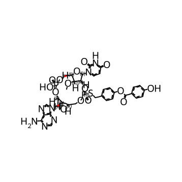 CO[C@H]1[C@H]2O[P@@](=O)(SCc3ccc(OC(=O)c4ccc(O)cc4)cc3)OC[C@H]3O[C@@H](n4cnc5c(N)ncnc54)[C@H](OP(=O)(O)OC[C@H]1O[C@H]2n1ccc(=O)[nH]c1=O)[C@@H]3F